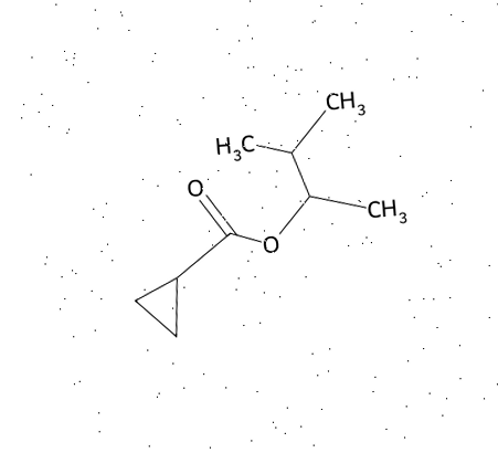 CC(C)C(C)OC(=O)C1CC1